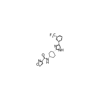 O=C(N[C@H]1CC[C@@H](c2nc(-c3cccc(C(F)(F)F)c3)c[nH]2)CC1)c1ccon1